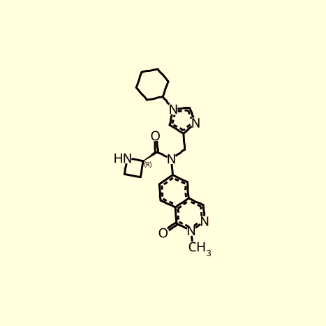 Cn1ncc2cc(N(Cc3cn(C4CCCCC4)cn3)C(=O)[C@H]3CCN3)ccc2c1=O